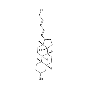 C[C@]12CC[C@H](O)C[C@H]1CC[C@@H]1[C@@H]2CC[C@]2(C)[C@@H](/C=C/C=C/CO)CC[C@]12O